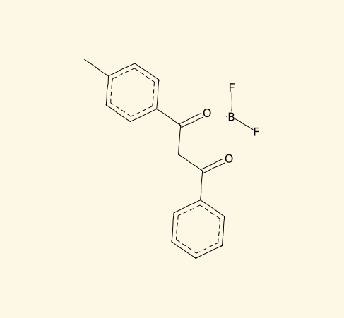 Cc1ccc(C(=O)CC(=O)c2ccccc2)cc1.F[B]F